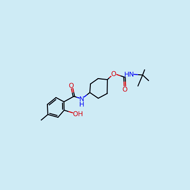 Cc1ccc(C(=O)NC2CCC(OC(=O)NC(C)(C)C)CC2)c(O)c1